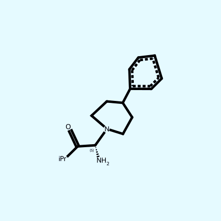 CC(C)C(=O)[C@@H](N)N1CCC(c2ccccc2)CC1